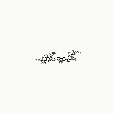 COC(=O)NC(C(=O)N1CC2(CC2)CC1c1ncc(-c2ccc3c(c2)C(F)(F)c2cc(-c4ccc5nc(C6C7CCC(C7)N6C(=O)C(NC(=O)OC)C(C)C)n(C(=O)OC(C)(C)C)c5c4)ccc2-3)[nH]1)C(C)C